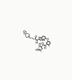 CN/C(=C\C(C)=N)C(=O)Nc1cc(Oc2ccc3nc(NC(=O)CCCN4CCC5(CC4)COC5)cn3n2)ccc1C